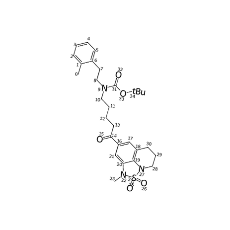 Cc1ccccc1CCN(CCCCC(=O)c1cc2c3c(c1)N(C)S(=O)(=O)N3CCC2)C(=O)OC(C)(C)C